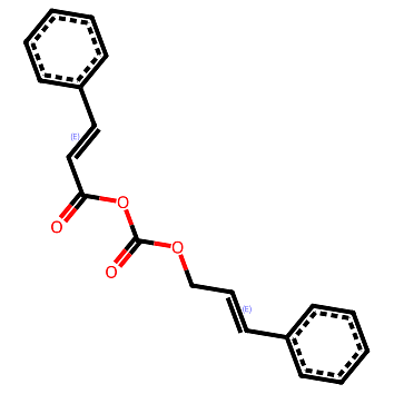 O=C(/C=C/c1ccccc1)OC(=O)OC/C=C/c1ccccc1